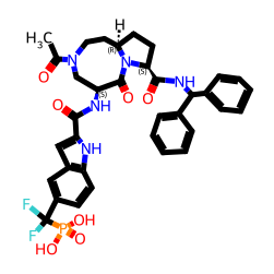 CC(=O)N1CC[C@H]2CC[C@@H](C(=O)NC(c3ccccc3)c3ccccc3)N2C(=O)[C@@H](NC(=O)c2cc3cc(C(F)(F)P(=O)(O)O)ccc3[nH]2)C1